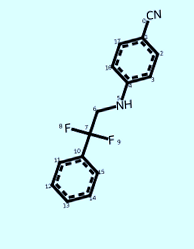 N#Cc1ccc(NCC(F)(F)c2ccccc2)cc1